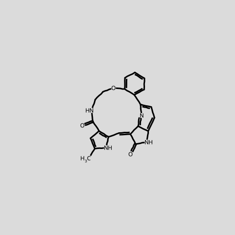 Cc1cc2c([nH]1)/C=C1\C(=O)Nc3ccc(nc31)-c1ccccc1OCCNC2=O